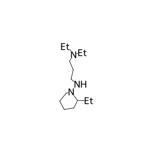 CCC1CCCCN1NCCCN(CC)CC